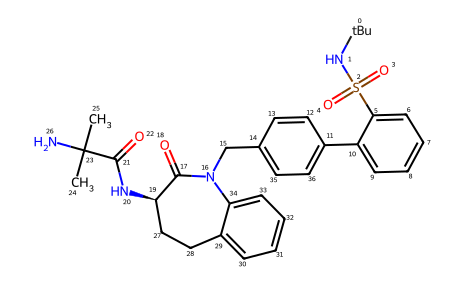 CC(C)(C)NS(=O)(=O)c1ccccc1-c1ccc(CN2C(=O)[C@H](NC(=O)C(C)(C)N)CCc3ccccc32)cc1